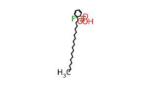 CCCCCCCCCCCCCCCCCCC1(F)C=CC=CC1S(=O)(=O)O